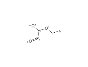 CCOC(O)P=O